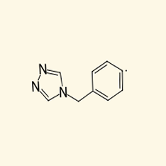 [c]1ccc(Cn2cnnc2)cc1